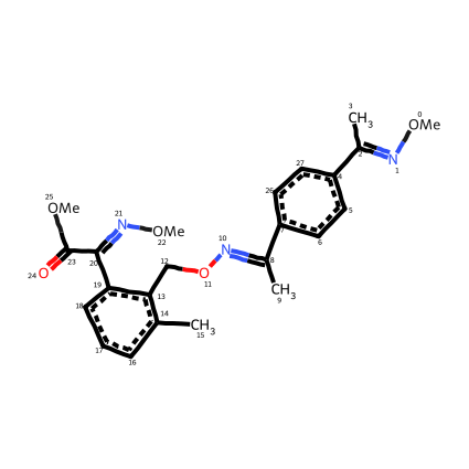 CO/N=C(\C)c1ccc(/C(C)=N/OCc2c(C)cccc2/C(=N\OC)C(=O)OC)cc1